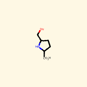 O=C(O)C1CCC(CO)N1